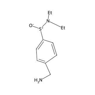 CCN(CC)[S+]([O-])c1ccc(CN)cc1